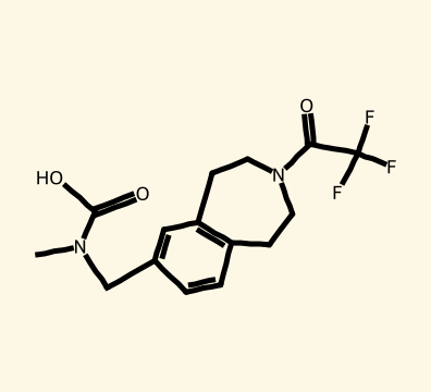 CN(Cc1ccc2c(c1)CCN(C(=O)C(F)(F)F)CC2)C(=O)O